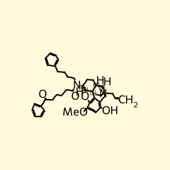 C=CCN1CC[C@]23c4c5c(O)cc(OC)c4O[C@H]2[C@H](N(CCCCc2ccccc2)C(=O)CCCCC(=O)c2ccccc2)CC[C@H]3[C@H]1C5